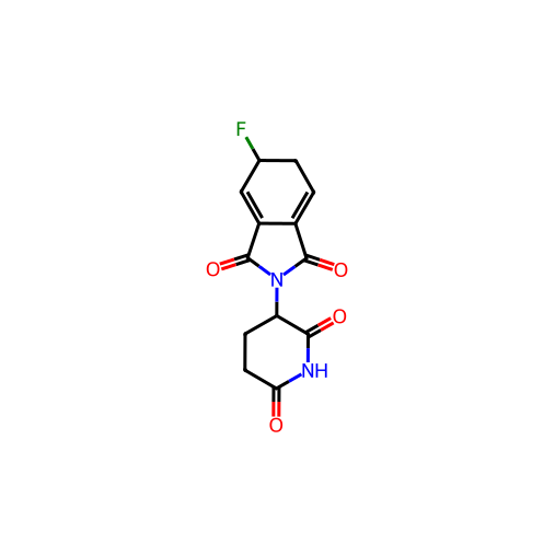 O=C1CCC(N2C(=O)C3=CCC(F)C=C3C2=O)C(=O)N1